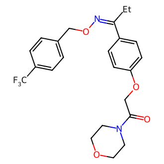 CCC(=NOCc1ccc(C(F)(F)F)cc1)c1ccc(OCC(=O)N2CCOCC2)cc1